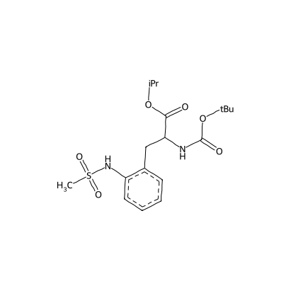 CC(C)OC(=O)C(Cc1ccccc1NS(C)(=O)=O)NC(=O)OC(C)(C)C